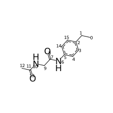 CCc1ccc(NC(=O)CNC(C)=O)cc1